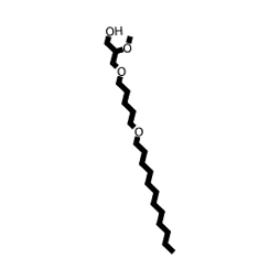 CCCCCCCCCCCCOCCCCCOCC(CO)OC